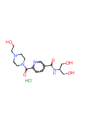 Cl.O=C(NC(CO)CO)c1ccc(C(=O)N2CCN(CCO)CC2)nc1